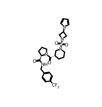 O=C(NCc1ccc(C(F)(F)F)cc1)[C@H]1CCCN1C(=O)[C@H]1CCCN(S(=O)(=O)N2CC(n3cccc3)C2)C1